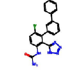 NC(=O)Nc1ccc(Br)c(-c2cccc(-c3ccccc3)c2)c1-c1nnn[nH]1